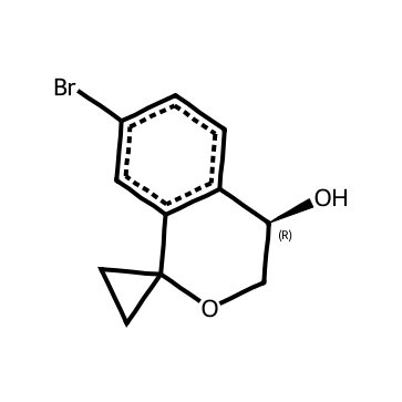 O[C@H]1COC2(CC2)c2cc(Br)ccc21